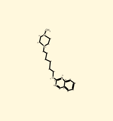 CN1CCN(CCCCCCOc2ncc3ccccc3n2)CC1